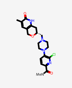 CNC(=O)c1ccc(N2CCN(C[C@H]3Cc4[nH]c(=O)c(C)cc4CO3)CC2)c(Cl)n1